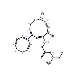 C=C(CN/C1=N/C(C2=C/N=C\CC/C=C\2)=N\CCN(C(C)C)/N=C\C1CC)S/C(N)=C\C